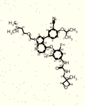 CC(C)Oc1ccc(-c2cn(COCC[SiH](C)C)c3nccc(Oc4c(F)cc(NC(=O)NCC5(C)COC5)cc4F)c23)cc1C#N